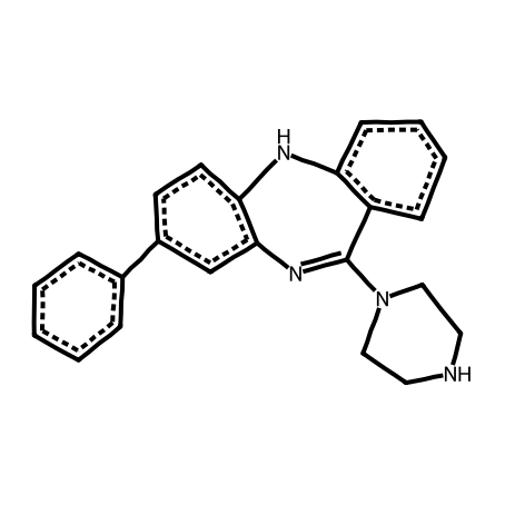 c1ccc(-c2ccc3c(c2)N=C(N2CCNCC2)c2ccccc2N3)cc1